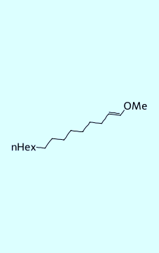 [CH2]OC=CCCCCCCCCCCCCC